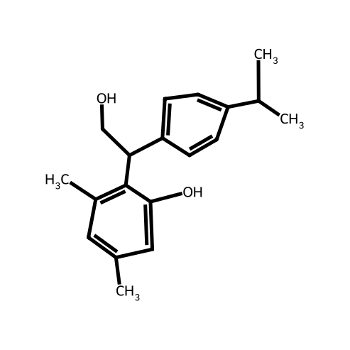 Cc1cc(C)c(C(CO)c2ccc(C(C)C)cc2)c(O)c1